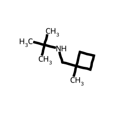 CC1(CNC(C)(C)C)CCC1